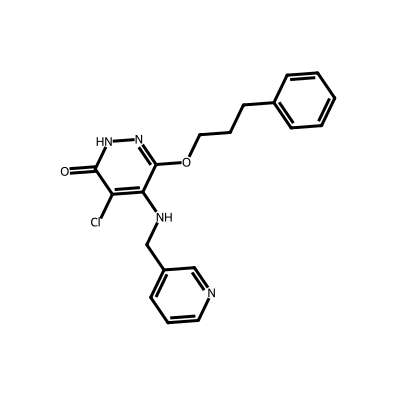 O=c1[nH]nc(OCCCc2ccccc2)c(NCc2cccnc2)c1Cl